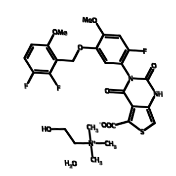 COc1cc(F)c(-n2c(=O)[nH]c3csc(C(=O)[O-])c3c2=O)cc1OCc1c(OC)ccc(F)c1F.C[N+](C)(C)CCO.O